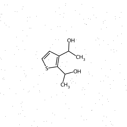 CC(O)c1ccsc1C(C)O